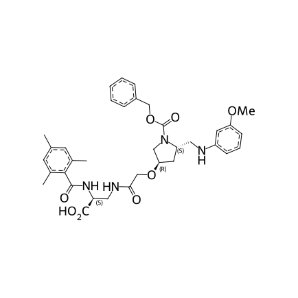 COc1cccc(NC[C@@H]2C[C@@H](OCC(=O)NC[C@H](NC(=O)c3c(C)cc(C)cc3C)C(=O)O)CN2C(=O)OCc2ccccc2)c1